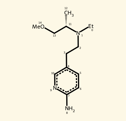 CCN(CCc1ccc(N)nc1)[C@@H](C)COC